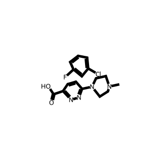 CN1CCN(c2ccc(C(=O)O)nn2)CC1.Fc1cccc(Cl)c1